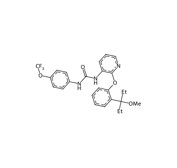 CCC(CC)(OC)c1ccccc1Oc1ncccc1NC(=O)Nc1ccc(OC(F)(F)F)cc1